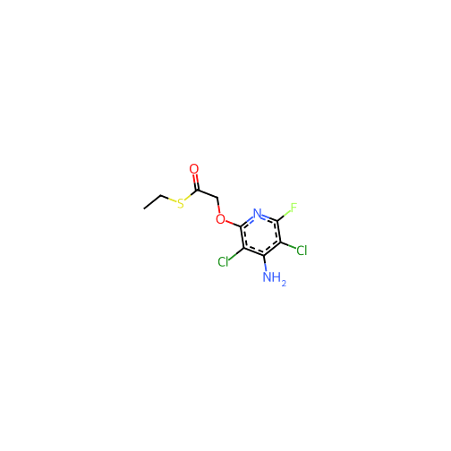 CCSC(=O)COc1nc(F)c(Cl)c(N)c1Cl